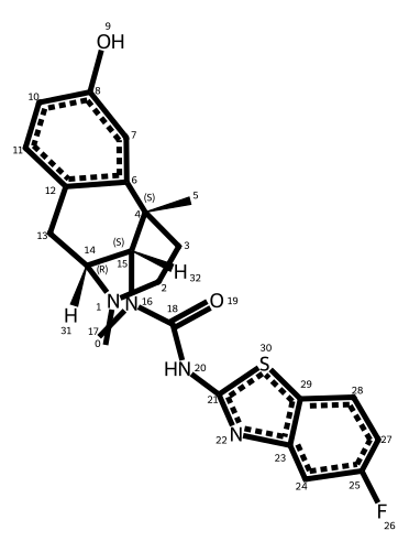 CN1CC[C@@]2(C)c3cc(O)ccc3C[C@@H]1[C@H]2N(C)C(=O)Nc1nc2cc(F)ccc2s1